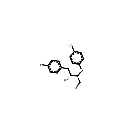 Cc1ccc(O[C@@H](CO)[C@@H](Cc2ccc(F)cc2)C(C)C)cc1